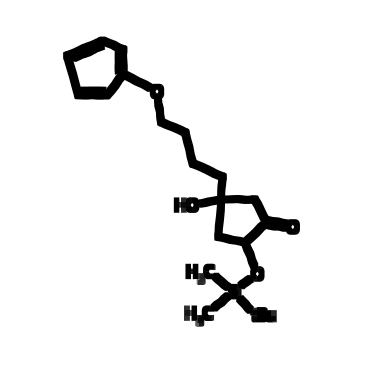 CC(C)(C)[Si](C)(C)OC1CC(O)(CCCCOc2ccccc2)CC1=O